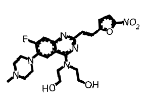 CN1CCN(c2cc3c(N(CCO)CCO)nc(/C=C/c4ccc([N+](=O)[O-])o4)nc3cc2F)CC1